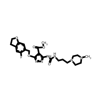 COC(=O)c1c(OCc2cc3c(cc2F)CCO3)nsc1NC(=O)NCCCN1CCN(C)CC1